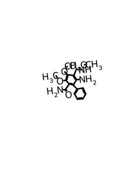 CONC(=O)c1c(N)c(-c2ccccc2)c(C(N)=O)c(OC)c1OC